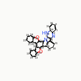 C1=CC2=Nc3c(n4c5c(c6c7oc8ccccc8c7c7c8ccccc8oc7c64)CCC=c35)NC2C=C1